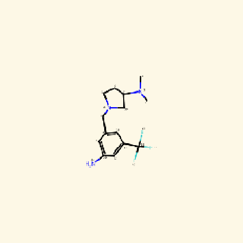 CN(C)C1CCN(Cc2cc(N)cc(C(F)(F)F)c2)C1